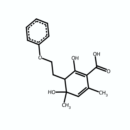 CC1=CC(C)(O)C(CCOc2ccccc2)C(O)=C1C(=O)O